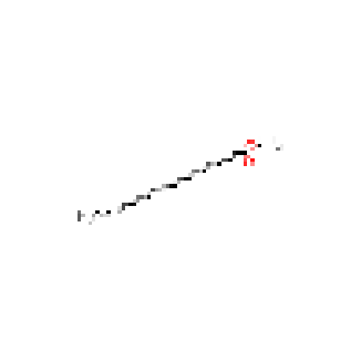 C[CH]OC(=O)CCCCCCCCCCCCCCCCCCCCC